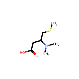 CSCC(CC(=O)O)N(C)C